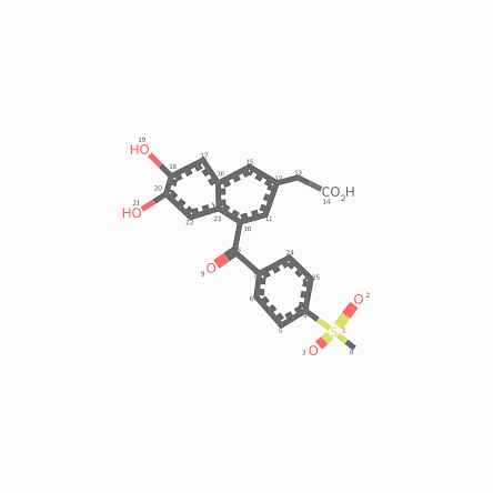 CS(=O)(=O)c1ccc(C(=O)c2cc(CC(=O)O)cc3cc(O)c(O)cc23)cc1